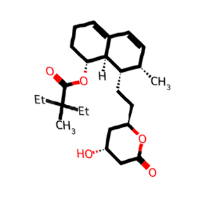 CCC(C)(CC)C(=O)O[C@@H]1CCC=C2C=C[C@H](C)[C@H](CC[C@@H]3C[C@@H](O)CC(=O)O3)[C@H]21